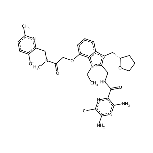 CC[n+]1c(CNC(=O)c2nc(Cl)c(N)nc2N)n(C[C@@H]2CCCO2)c2cccc(OCC(=O)N(C)Cc3nc(C)ccc3[O-])c21